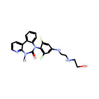 CCN1C(=O)N(c2c(F)cc(NCCNCCO)cc2F)c2ccccc2-c2cccnc21